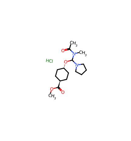 COC(=O)[C@H]1CC[C@H](OC(N2CCCC2)N(C)C(C)=O)CC1.Cl